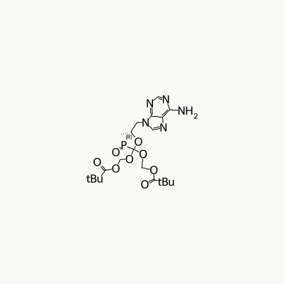 C[C@H](Cn1cnc2c(N)ncnc21)OC(OCOC(=O)C(C)(C)C)(OCOC(=O)C(C)(C)C)P=O